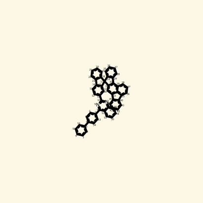 c1ccc(-c2ccc(-c3nc(-c4ccc5c(c4)C4(c6ccccc6-5)c5ccccc5-c5c4cc4c6c(cccc56)-c5ccccc5-4)nc4ccccc34)cc2)cc1